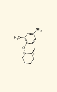 Cc1cc(N)ccc1O[C@H]1CCCC[C@@H]1F